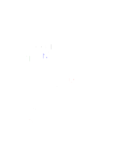 O=C(O)Cl.O=c1ccc2nc3c(oc-2c1)CCC=C3